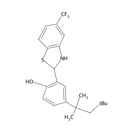 CC(C)(C)CC(C)(C)c1ccc(O)c(C2Nc3cc(C(F)(F)F)ccc3S2)c1